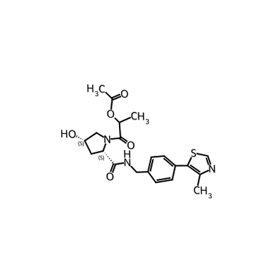 CC(=O)OC(C)C(=O)N1C[C@@H](O)C[C@H]1C(=O)NCc1ccc(-c2scnc2C)cc1